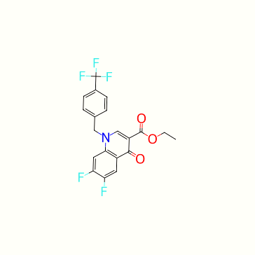 CCOC(=O)c1cn(Cc2ccc(C(F)(F)F)cc2)c2cc(F)c(F)cc2c1=O